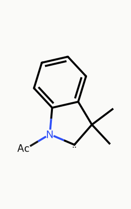 CC(=O)N1[C]C(C)(C)c2ccccc21